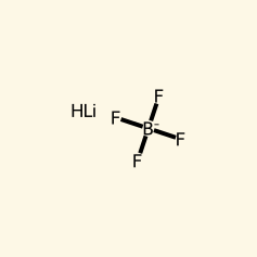 F[B-](F)(F)F.[LiH]